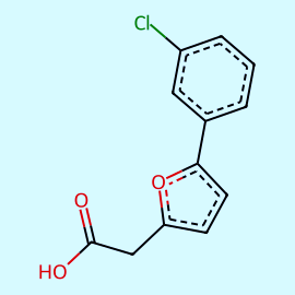 O=C(O)Cc1ccc(-c2cccc(Cl)c2)o1